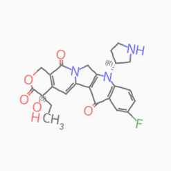 CC[C@@]1(O)C(=O)OCc2c1cc1n(c2=O)Cc2c-1c(=O)c1cc(F)ccc1n2[C@@H]1CCNC1